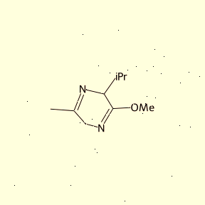 COC1=NCC(C)=NC1C(C)C